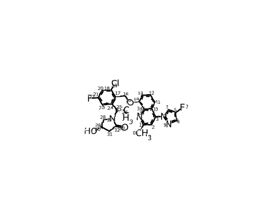 Cc1cc(-n2cc(F)cn2)c2cccc(OCc3c(Cl)cc(F)cc3[C@H](C)N3C[C@@H](O)CC3=O)c2n1